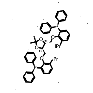 CC(C)c1cccc(P(c2ccccc2)c2ccccc2)c1OC[C@H]1OC(C)(C)O[C@@H]1COc1c(C(C)C)cccc1P(c1ccccc1)c1ccccc1